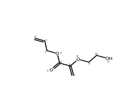 C=CCOC(=O)C(=C)OCCO